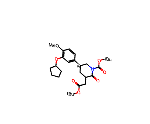 COc1ccc([C@@H]2CC(CC(=O)OC(C)(C)C)C(=O)N(C(=O)OC(C)(C)C)C2)cc1OC1CCCC1